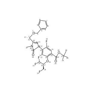 C[C@H](OCc1ccccc1)c1nn(-c2cc(O[C@@H](CF)C(F)F)c(C(=O)OC(C)(C)C)cc2F)c(=O)n1C